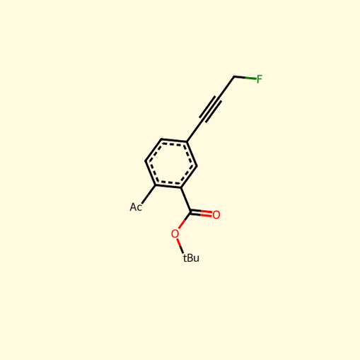 CC(=O)c1ccc(C#CCF)cc1C(=O)OC(C)(C)C